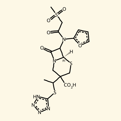 CC(Sc1nnn[nH]1)C1(C(=O)O)CS[C@@H]2C(N(C(=O)CS(C)(=O)=O)c3ccco3)C(=O)N2C1